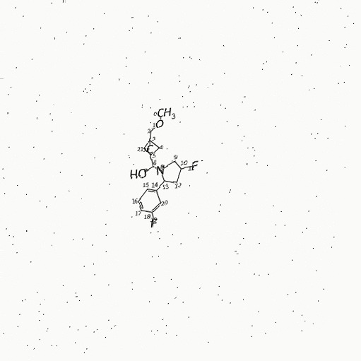 COCC12CC(C(O)N3CC(F)CC3c3cccc(F)c3)(C1)C2